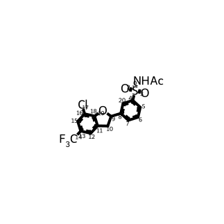 CC(=O)NS(=O)(=O)c1cccc(C2Cc3cc(C(F)(F)F)cc(Cl)c3O2)c1